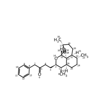 C[C@H]1[C@@H](CCC(=O)Cc2ccccc2)O[C@@H]2O[C@]3(C)CC[C@H]4[C@H](C)CC[C@@H]1[C@@]24OO3